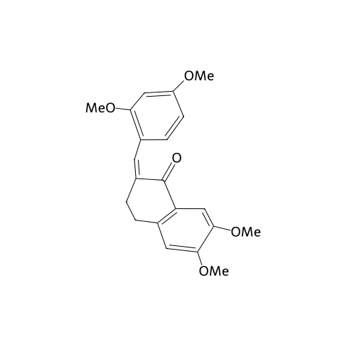 COc1ccc(C=C2CCc3cc(OC)c(OC)cc3C2=O)c(OC)c1